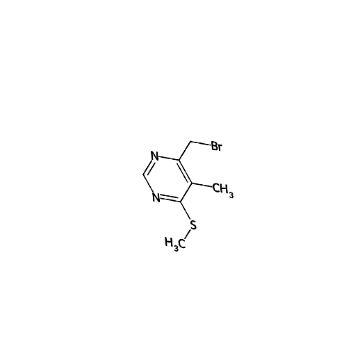 CSc1ncnc(CBr)c1C